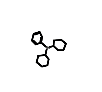 c1ccc([SH](C2CCCCC2)C2CCCCC2)cc1